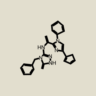 C=C(NC1=NNC(=C)N1Cc1ccccc1)c1nc(C2=CC=CC2)cn1-c1ccccc1